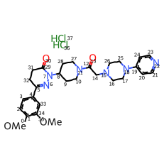 COc1ccc(C2=NN(C3CCN(C(=O)CN4CCN(c5ccncc5)CC4)CC3)C(=O)CC2)cc1OC.Cl.Cl